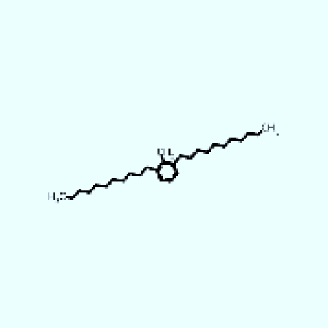 [CH2]c1c(CCCCCCCCCCC)cccc1CCCCCCCCCCC